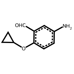 Nc1ccc(OC2CC2)c(C=O)c1